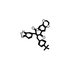 CC(C)(C)c1ccc(CC(C(=O)c2ccc3c(c2)OCCO3)=C(C(=O)O)c2ccc3nsnc3c2)cc1